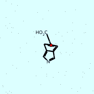 O=C(O)C1OC2=C3C=NC=C3C1C=C2